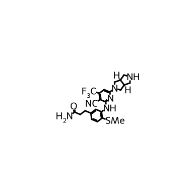 CSc1ccc(CCC(N)=O)cc1Nc1nc(N2C[C@H]3CNC[C@H]3C2)cc(C(F)(F)F)c1C#N